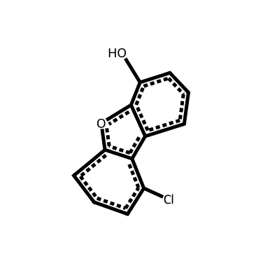 Oc1cccc2c1oc1cccc(Cl)c12